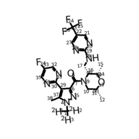 [2H]C([2H])([2H])n1nc(C(=O)N2C[C@@H](C)O[C@@H](C)[C@H]2CNc2ncc(C(F)(F)F)cn2)c(-c2ncc(F)cn2)c1C